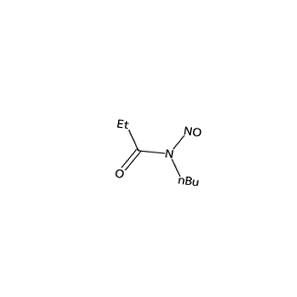 CCCCN(N=O)C(=O)CC